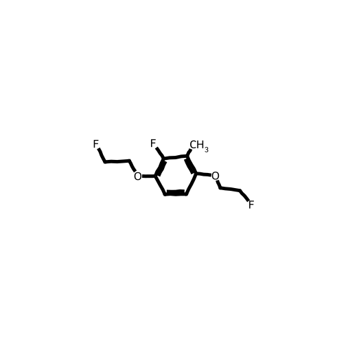 Cc1c(OCCF)ccc(OCCF)c1F